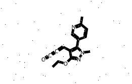 CCOc1nn(C)c(-c2ccc(C)nc2)c1C=C=C=O